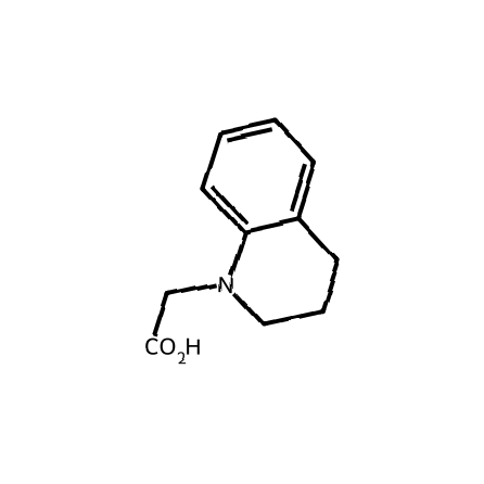 O=C(O)CN1CCCc2ccccc21